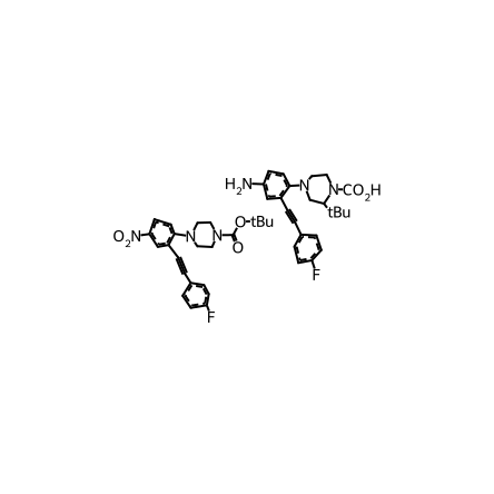 CC(C)(C)C1CN(c2ccc(N)cc2C#Cc2ccc(F)cc2)CCN1C(=O)O.CC(C)(C)OC(=O)N1CCN(c2ccc([N+](=O)[O-])cc2C#Cc2ccc(F)cc2)CC1